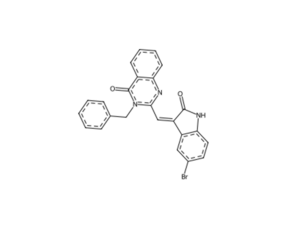 O=C1Nc2ccc(Br)cc2C1=Cc1nc2ccccc2c(=O)n1Cc1ccccc1